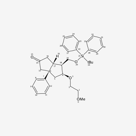 COCCO[C@H]1C[C@]2(c3ccccc3)CC(=O)C[C@@H]2[C@H]1CO[Si](c1ccccc1)(c1ccccc1)C(C)(C)C